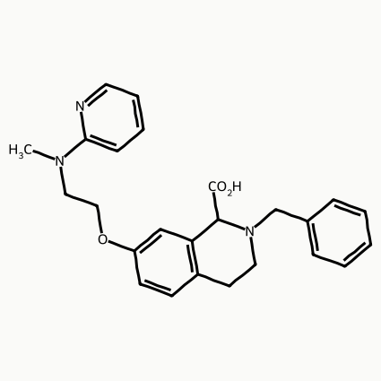 CN(CCOc1ccc2c(c1)C(C(=O)O)N(Cc1ccccc1)CC2)c1ccccn1